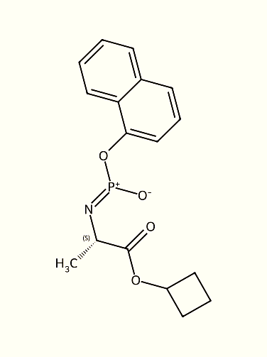 C[C@H](N=[P+]([O-])Oc1cccc2ccccc12)C(=O)OC1CCC1